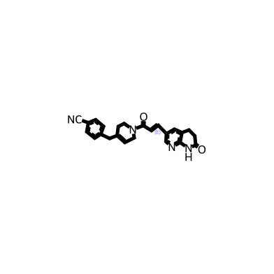 N#Cc1ccc(CC2=CCN(C(=O)/C=C/c3cnc4c(c3)CCC(=O)N4)CC2)cc1